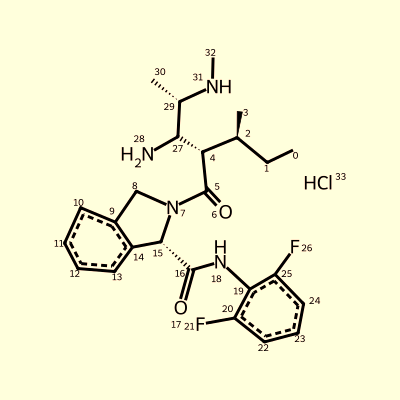 CC[C@H](C)[C@H](C(=O)N1Cc2ccccc2[C@H]1C(=O)Nc1c(F)cccc1F)C(N)[C@H](C)NC.Cl